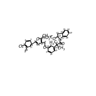 Cc1oc(-c2ccc(Cl)c(F)c2)nc1COc1cccc(C(C)(C)C(=O)N2c3ccccc3C[C@H]2OC(=O)O)c1